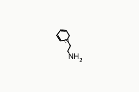 NCC[C@H]1C=CC=CC1